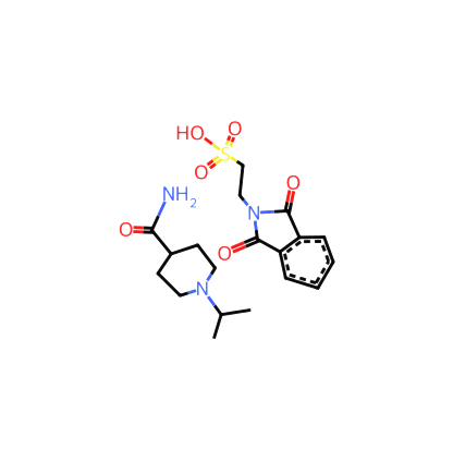 CC(C)N1CCC(C(N)=O)CC1.O=C1c2ccccc2C(=O)N1CCS(=O)(=O)O